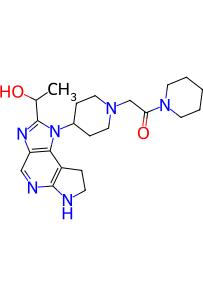 CC(O)c1nc2cnc3c(c2n1C1CCN(CC(=O)N2CCCCC2)CC1)CCN3